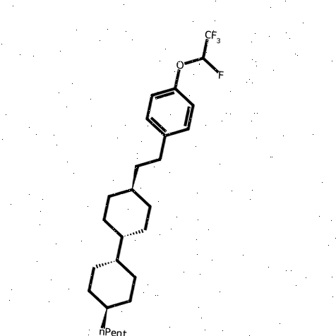 CCCCC[C@H]1CC[C@H]([C@H]2CC[C@H](CCc3ccc(OC(F)C(F)(F)F)cc3)CC2)CC1